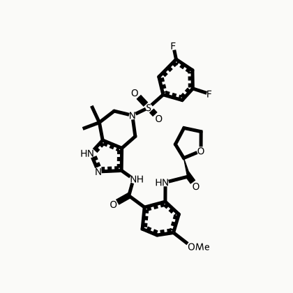 COc1ccc(C(=O)Nc2n[nH]c3c2CN(S(=O)(=O)c2cc(F)cc(F)c2)CC3(C)C)c(NC(=O)[C@H]2CCCO2)c1